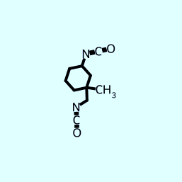 CC1(CN=C=O)CCCC(N=C=O)C1